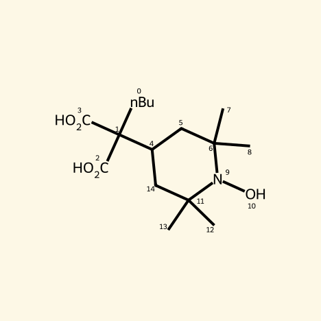 CCCCC(C(=O)O)(C(=O)O)C1CC(C)(C)N(O)C(C)(C)C1